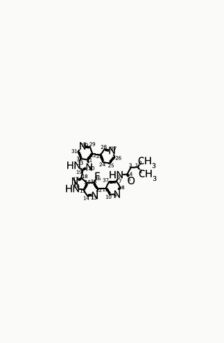 CC(C)CC(=O)Nc1cncc(-c2ncc3[nH]nc(-c4nc5c(-c6cccnc6)cncc5[nH]4)c3c2F)c1